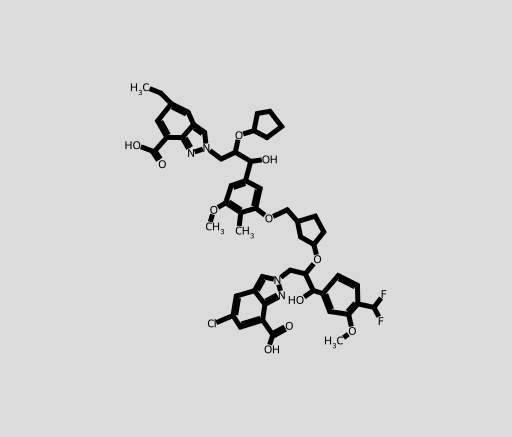 CCc1cc(C(=O)O)c2nn(CC(OC3CCCC3)C(O)c3cc(OC)c(C)c(OCC4CCC(OC(Cn5cc6cc(Cl)cc(C(=O)O)c6n5)C(O)c5ccc(C(F)F)c(OC)c5)C4)c3)cc2c1